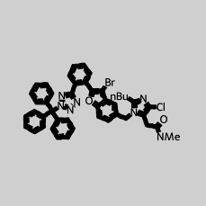 CCCCc1nc(Cl)c(CC(=O)NC)n1Cc1ccc2oc(-c3ccccc3-c3nnn(C(c4ccccc4)(c4ccccc4)c4ccccc4)n3)c(Br)c2c1